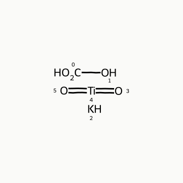 O=C(O)O.[KH].[O]=[Ti]=[O]